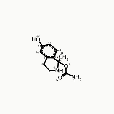 CC1(OC(N)=O)NCCc2cc(O)ccc21